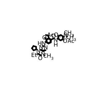 CC[C@@H]1C(=O)N(C)c2cnc(Nc3ccc(C(=O)N[C@H]4C[C@@H](OC(C)=O)[C@H](N(C)C)C[C@H]4OC(C)=O)c4c3OCC4)nc2N1C1CCCC1